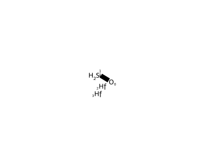 O=[SiH2].[Hf].[Hf]